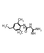 CCc1cc(C)c(NC(=O)NC(=N)N)c(C)c1